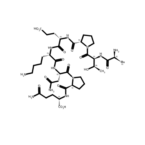 CC[C@H](C)[C@H](N)C(=O)N[C@H](C(=O)N1CCC[C@H]1C(=O)N[C@@H](CCC(=O)O)C(=O)N[C@@H](CCCCN)C(=O)N[C@@H](CC(N)=O)C(=O)N1CCC[C@H]1C(=O)N[C@@H](CCC(N)=O)C(=O)O)[C@@H](C)O